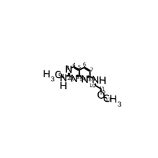 CNc1ncc2ccc(NCCOC)nc2n1